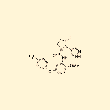 COc1ccc(Oc2ccc(C(F)(F)F)cc2)cc1NC(=O)[C@H]1CCC(=O)N1c1cn[nH]c1